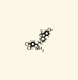 COc1ccc(C2CCN(CC[C@H](CN)c3ccc(Cl)c(Cl)c3)CC2)c([S@+](C)[O-])c1